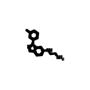 Cc1cccc(-n2ncc3ccc(NCCN)cc32)c1